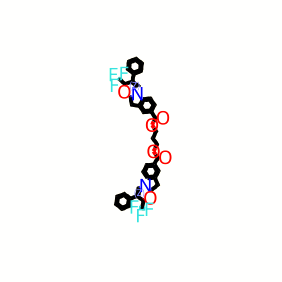 O=C(OCCCOC(=O)c1ccc2c(c1)CCN2/C=C(\C(=O)C(F)(F)F)c1ccccc1)c1ccc2c(c1)CCN2/C=C(\C(=O)C(F)(F)F)c1ccccc1